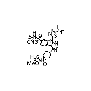 CON(C)C(=O)N1CCC(c2ncnc3c2c2ccc(S(=O)(=O)NC4(C#N)CC4)cc2n3-c2nnc(C(F)F)s2)CC1